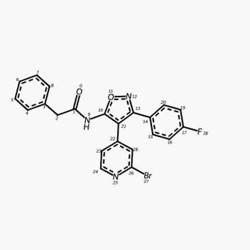 O=C(Cc1ccccc1)Nc1onc(-c2ccc(F)cc2)c1-c1ccnc(Br)c1